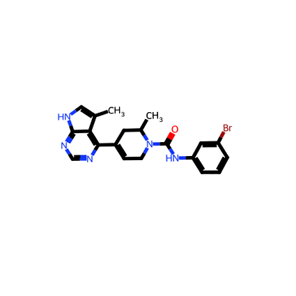 Cc1c[nH]c2ncnc(C3=CCN(C(=O)Nc4cccc(Br)c4)C(C)C3)c12